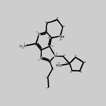 CCCc1nc2c(N)nc3c(c2n1CC1(O)CCCC1)NCCC3